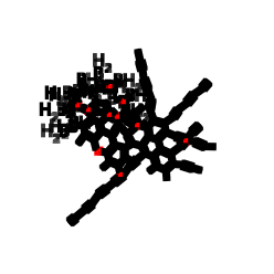 BBB(B)B(B(B)B)c1c(B(B(B)B)B(B)B)c(B(BB)B(B)B)c(C)c2c(-c3c4c(C)c(C)c(C)c(C)c4c(-c4c(C#CC#CC#CC#CC#C)c5c(C)c(C)c(C#CC)c(C#CC#C)c5c5c(C#CC#CC)c(C#CC#CC#C)c(C#CC#CC#CC)c(C#CC#CC#CC#C)c45)c4c(C)c(C)c(C)c(C)c34)c(C)c(C)c(B)c12